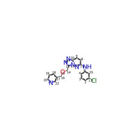 Clc1cccc(Nc2ccc3nnc(COCc4cccnc4)n3n2)c1